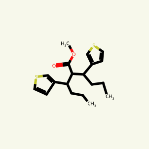 CCCC(c1ccsc1)C(C(=O)OC)C(CCC)c1ccsc1